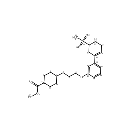 CC(C)OC(=O)N1CCC(CCCOc2cccc(C3=CCNC(S(C)(=O)=O)C3)c2)CC1